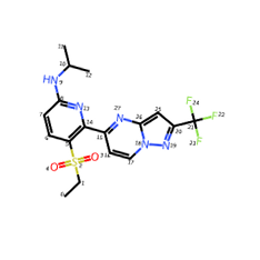 CCS(=O)(=O)c1ccc(NC(C)C)nc1-c1ccn2nc(C(F)(F)F)cc2n1